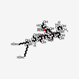 CCCCCCCCCCCCC/C=C/[C@@H](O)[C@H](CO[C@@H]1OC(CO)[C@@H](O[C@@H]2OC(CO)[C@H](O[C@@H]3OC(CO)[C@H](O[C@@H]4OC(CO)[C@H](O)[C@H](O[C@@H]5OC(CO)[C@H](O)[C@H](O)C5O[C@H]5OC(C)[C@@H](O)C(O)[C@@H]5O)C4NC(C)=O)[C@H](O[C@@H]4OC(CO)[C@H](O)[C@H](O[C@H]5OC(CO)[C@H](O)[C@H](O)C5NC(C)=O)C4NC(C)=O)C3O)[C@H](O)C2O)[C@H](O)C1O)NC(=O)CCCCCCCCCCCCCCCCC